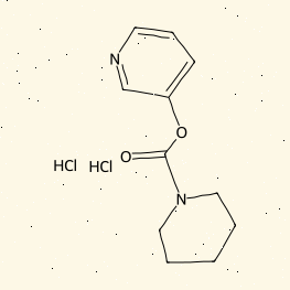 Cl.Cl.O=C(Oc1cccnc1)N1CCCCC1